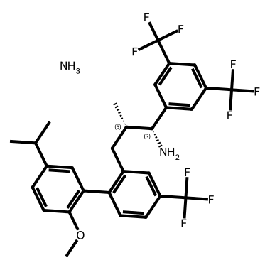 COc1ccc(C(C)C)cc1-c1ccc(C(F)(F)F)cc1C[C@H](C)[C@@H](N)c1cc(C(F)(F)F)cc(C(F)(F)F)c1.N